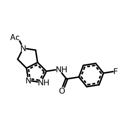 CC(=O)N1Cc2n[nH]c(NC(=O)c3ccc(F)cc3)c2C1